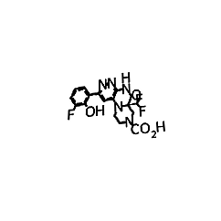 O=C(O)N1CCN2c3cc(-c4cccc(F)c4O)nnc3NC(=O)[C@]2(C(F)F)C1